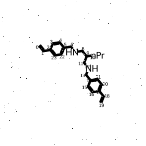 C=Cc1ccc(CNCC(CCC)CNCc2ccc(C=C)cc2)cc1